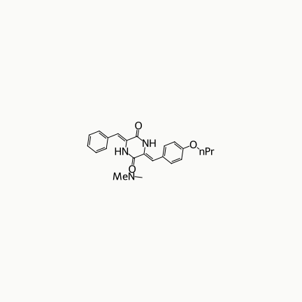 CCCOc1ccc(C=c2[nH]c(=O)c(=Cc3ccccc3)[nH]c2=O)cc1.CNC